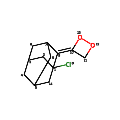 ClC12CC3CC(CC(C3)C1=C1COO1)C2